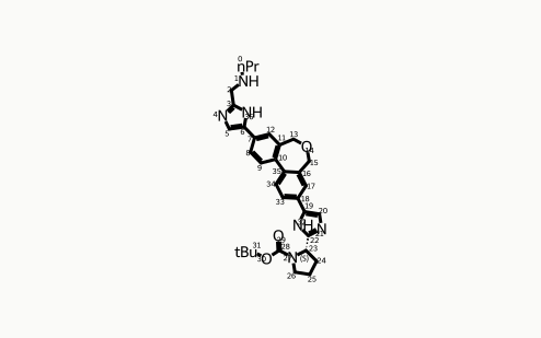 CCCNCc1ncc(-c2ccc3c(c2)COCc2cc(-c4cnc([C@@H]5CCCN5C(=O)OC(C)(C)C)[nH]4)ccc2-3)[nH]1